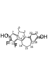 CCCC1=C(c2ccc(O)c(F)c2F)CCCc2cc(O)ccc21